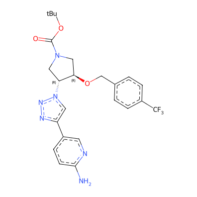 CC(C)(C)OC(=O)N1C[C@@H](n2cc(-c3ccc(N)nc3)nn2)[C@H](OCc2ccc(C(F)(F)F)cc2)C1